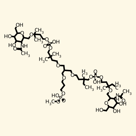 CCC(C)(CCOCC(COCCCOP(=O)(O)OC)COCCC(C)(C)COP(=O)(O)OCCC(C)(C)OCC1OC(CO)C(O)C(O)C1NC(C)=O)COP(=O)(O)OCCC(C)(CC)OCC1OC(CO)C(O)C(O)C1NC(C)=O